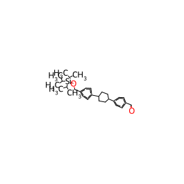 CC(C)[Si](OCc1ccc(C2CCC(c3ccc(C=O)cc3)CC2)cc1)(C(C)C)C(C)C